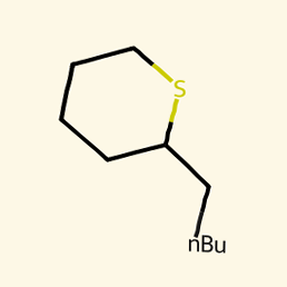 CCCCCC1CCCCS1